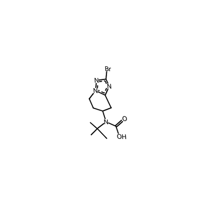 CC(C)(C)N(C(=O)O)C1CCn2nc(Br)nc2C1